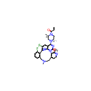 C=CC(=O)N1C[C@H](C)N(c2nc(=O)n3c4nc(c(F)cc24)-c2c(F)cccc2CN(C)CCc2ccnc(C(C)C)c2-3)C[C@H]1C